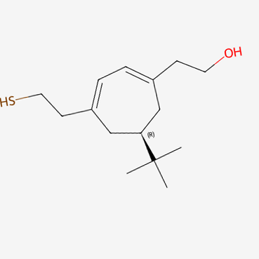 CC(C)(C)[C@@H]1CC(CCO)=CC=C(CCS)C1